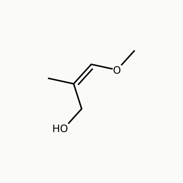 COC=C(C)CO